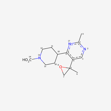 Cc1ncc(C2(C)CO2)c(C2CCN(C(=O)O)CC2)n1